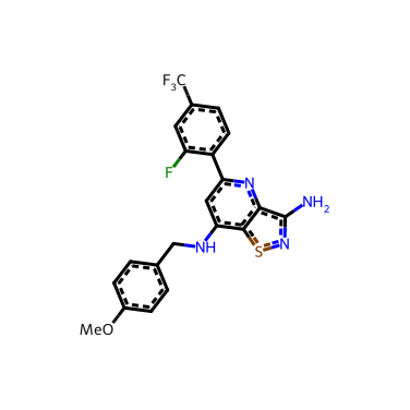 COc1ccc(CNc2cc(-c3ccc(C(F)(F)F)cc3F)nc3c(N)nsc23)cc1